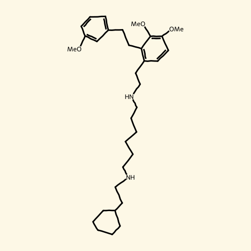 COc1cccc(CCc2c(CCNCCCCCCNCCC3CCCCC3)ccc(OC)c2OC)c1